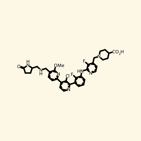 COc1nc(-c2ccnc(-c3cccc(Nc4nccc(CN5CCC(C(=O)O)CC5)c4F)c3F)c2Cl)ccc1CNCC1CCC(=O)N1